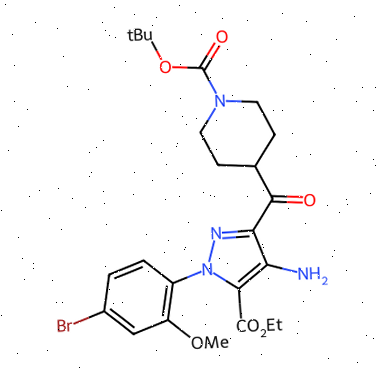 CCOC(=O)c1c(N)c(C(=O)C2CCN(C(=O)OC(C)(C)C)CC2)nn1-c1ccc(Br)cc1OC